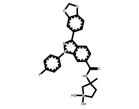 CC1(NC(=O)c2ccc3c(-c4ccc5c(c4)OCO5)nn(-c4ccc(F)cc4)c3c2)CCS(O)(O)C1